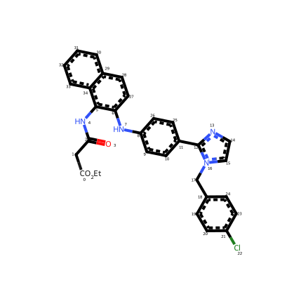 CCOC(=O)CC(=O)Nc1c(Nc2ccc(-c3nccn3Cc3ccc(Cl)cc3)cc2)ccc2ccccc12